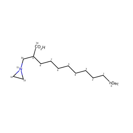 CCCCCCCCCCCCCCCCCCC(CN1CC1)C(=O)O